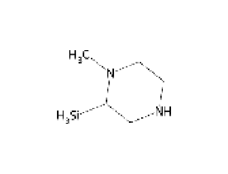 CN1CCNCC1[SiH3]